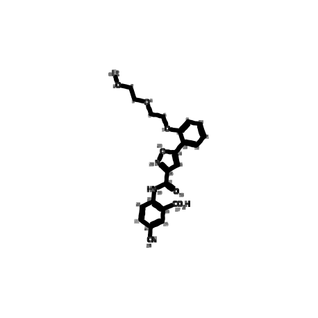 CCOCCOCCOc1ccccc1-c1cc(C(=O)Nc2ccc(C#N)cc2C(=O)O)no1